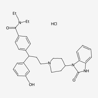 CCN(CC)C(=O)c1ccc(C(CCN2CCC(n3c(=O)[nH]c4ccccc43)CC2)c2cccc(O)c2)cc1.Cl